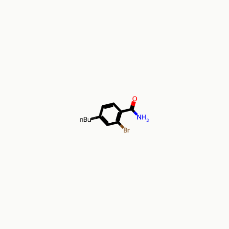 CCCCc1ccc(C(N)=O)c(Br)c1